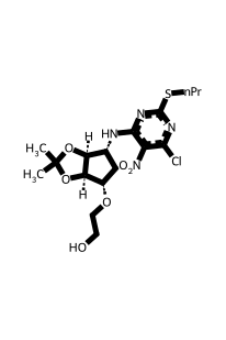 CCCSc1nc(Cl)c([N+](=O)[O-])c(N[C@@H]2C[C@H](OCCO)[C@H]3OC(C)(C)O[C@H]32)n1